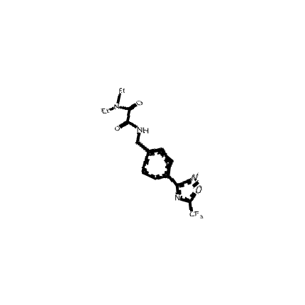 CCN(CC)C(=O)C(=O)NCc1ccc(-c2noc(C(F)(F)F)n2)cc1